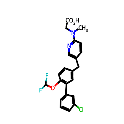 CN(CC(=O)O)c1ccc(Cc2ccc(OC(F)F)c(-c3cccc(Cl)c3)c2)cn1